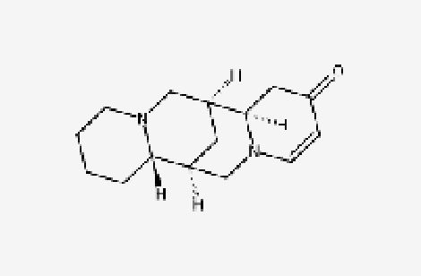 O=C1C=CN2C[C@@H]3C[C@@H](CN4CCCC[C@@H]34)[C@H]2C1